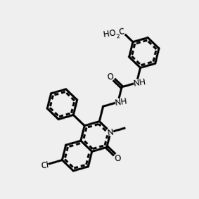 Cn1c(CNC(=O)Nc2cccc(C(=O)O)c2)c(-c2ccccc2)c2cc(Cl)ccc2c1=O